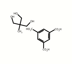 CC(CO)(CO)CO.O=C(O)c1cc(C(=O)O)cc(C(=O)O)c1